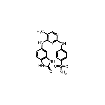 Cc1cnc(Nc2ccc(S(N)(=O)=O)cc2)nc1Nc1ccc2[nH]c(=O)[nH]c2c1